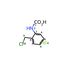 F.O=C(O)Nc1ccccc1CCl